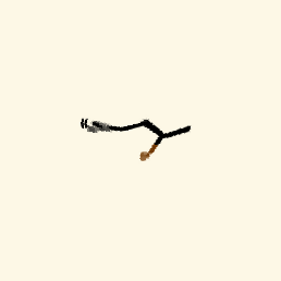 CC(Br)C[SiH3]